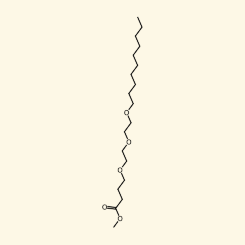 CCCCCCCCCCOCCOCCOCCCC(=O)OC